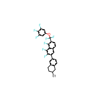 CCC1CCc2cc(-c3cc4ccc(C(F)(F)Oc5cc(F)c(F)c(F)c5)c(F)c4c(F)c3F)ccc2C1